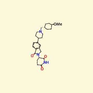 CO[C@H]1CC[C@H](CN2CCC(c3ccc4c(c3)CN(C3CCC(=O)NC3=O)C4=O)CC2)CC1